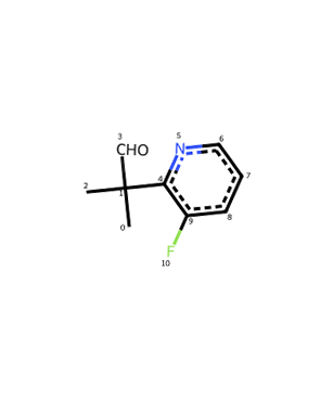 CC(C)(C=O)c1ncccc1F